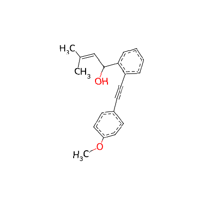 COc1ccc(C#Cc2ccccc2C(O)C=C(C)C)cc1